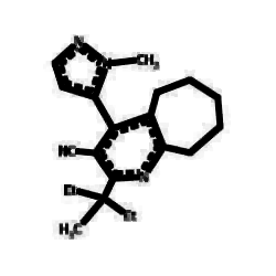 CCC(C)(CC)c1nc2c(c(-c3ccnn3C)c1C#N)CCCCC2